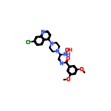 COc1cc(OC)cc(C(=O)/N=C\C(NO)N2CCN(c3ccnc4cc(Cl)ccc34)CC2)c1